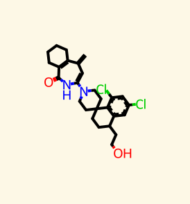 C=C1C=C(N2CCC3(CCC(CCO)c4cc(Cl)cc(Cl)c43)CC2)NC(=O)C2=C1CCCC2